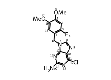 COc1cc(F)c(Cn2cnc3c(Cl)nc(N)nc32)cc1OC